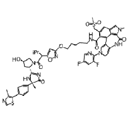 Cc1ncsc1-c1ccc([C@]2(C)NC([C@@H]3C[C@@H](O)CN3C(=O)C(c3cc(OCCCCCNC(=O)c4c(CS(C)(=O)=O)cc5cn(C)c6c5c4C4=CN(c5ncc(F)cc5F)CC=C4NC6=O)no3)C(C)C)=NC2=O)cc1